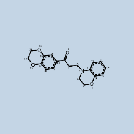 O=C(CCN1CCOc2ccccc21)c1ccc2c(c1)OCCO2